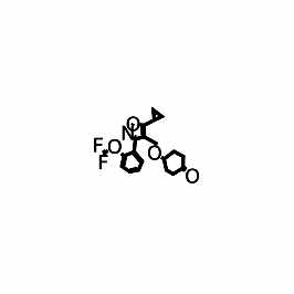 O=C1CCC(OCc2c(-c3ccccc3OC(F)F)noc2C2CC2)CC1